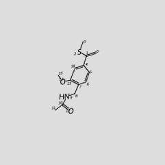 C=C(SC)c1ccc(CNC(C)=O)c(OC)c1